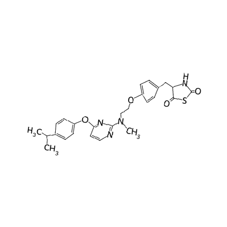 CC(C)c1ccc(Oc2ccnc(N(C)CCOc3ccc(CC4NC(=O)SC4=O)cc3)n2)cc1